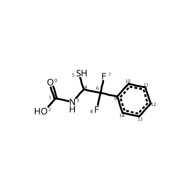 O=C(O)NC(S)C(F)(F)c1ccccc1